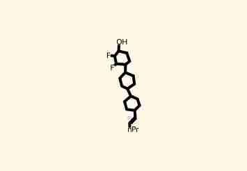 CCC/C=C/C1CCC(C2CCC(C3CCC(O)C(F)C3F)CC2)CC1